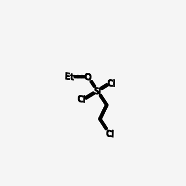 CCO[Si](Cl)(Cl)CCCl